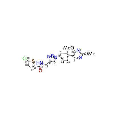 COc1ncc(-c2ccc(-n3cc(CNC(=O)c4ccc(Cl)s4)nn3)cc2)c(OC)n1